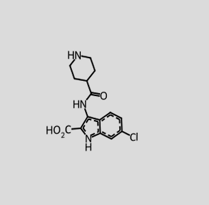 O=C(O)c1[nH]c2cc(Cl)ccc2c1NC(=O)C1CCNCC1